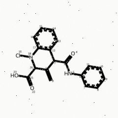 C=C1C(C(=O)Nc2ccccc2)c2ccccc2N(Cl)C1C(=O)O